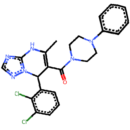 CC1=C(C(=O)N2CCN(c3ccccc3)CC2)C(c2cccc(Cl)c2Cl)n2ncnc2N1